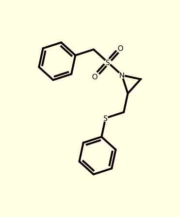 O=S(=O)(Cc1ccccc1)N1CC1CSc1ccccc1